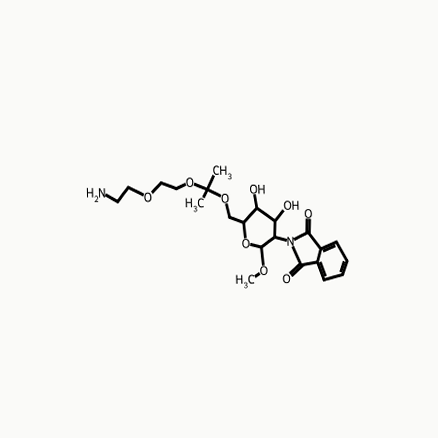 COC1OC(COC(C)(C)OCCOCCN)C(O)C(O)C1N1C(=O)c2ccccc2C1=O